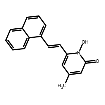 Cc1cc(/C=C/c2cccc3ccccc23)n(O)c(=O)c1